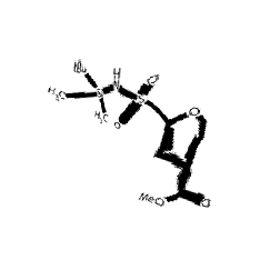 COC(=O)c1coc(S(=O)(=O)N[Si](C)(C)C(C)(C)C)c1